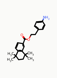 CC1(C)CCC(C)(C)c2cc(C(=O)OCCc3ccc(N)cc3)ccc21